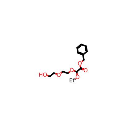 CCOC(OCCOCCO)C(=O)OCc1ccccc1